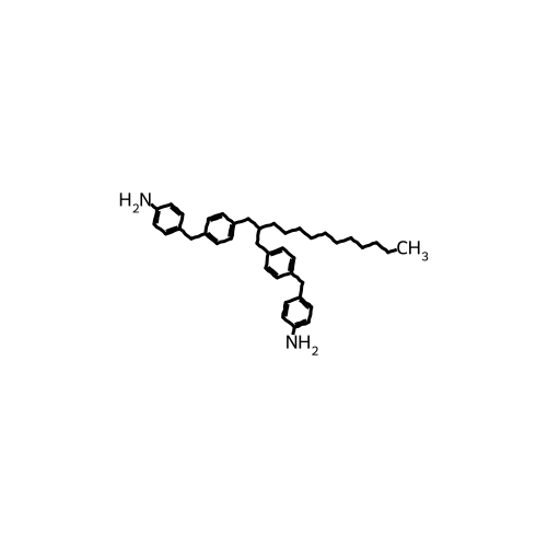 CCCCCCCCCCCC(Cc1ccc(Cc2ccc(N)cc2)cc1)Cc1ccc(Cc2ccc(N)cc2)cc1